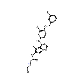 Cc1c(NC(=O)/C=C/CBr)cn2ncnc(NC3C=CC(OCc4cccc(F)c4)=C(Cl)C3)c12